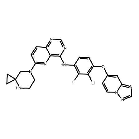 Fc1c(Nc2ncnc3ccc(N4CCNC5(CC5)C4)nc23)ccc(Oc2ccn3ncnc3c2)c1Cl